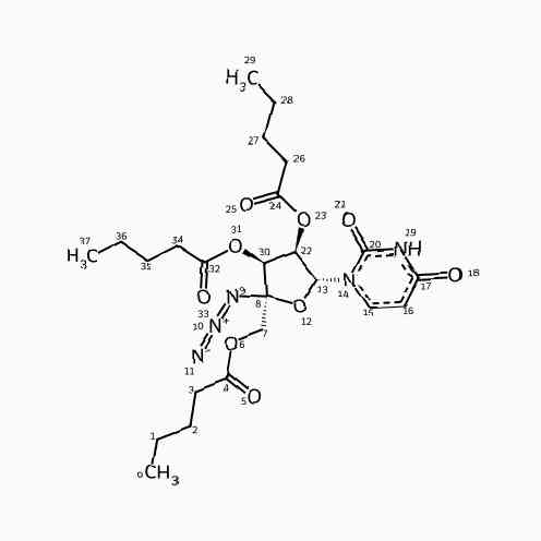 CCCCC(=O)OC[C@@]1(N=[N+]=[N-])O[C@@H](n2ccc(=O)[nH]c2=O)[C@H](OC(=O)CCCC)[C@@H]1OC(=O)CCCC